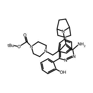 CC(C)(C)OC(=O)N1CCN(Cc2cccc(N3C4CCC3CN(c3cc(-c5ccccc5O)nnc3N)C4)c2)CC1